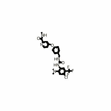 CNC(=O)c1cc(Oc2ccc(CNC(=O)Nc3cc(C(F)(F)F)c(Cl)cc3N(C)C)cc2)ccn1